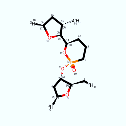 [2H]C[C@H]1O[C@@H]([3H])C[C@@H]1O[P@@]1(=O)CCC[C@H]([C@H]2O[C@@H]([3H])C[C@@H]2C)O1